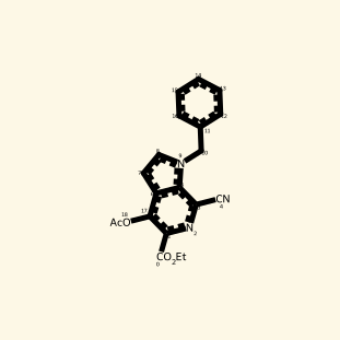 CCOC(=O)c1nc(C#N)c2c(ccn2Cc2ccccc2)c1OC(C)=O